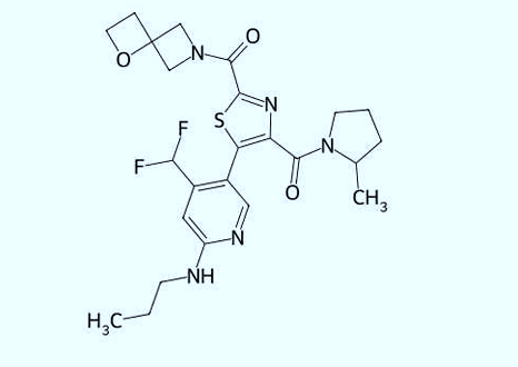 CCCNc1cc(C(F)F)c(-c2sc(C(=O)N3CC4(CCO4)C3)nc2C(=O)N2CCCC2C)cn1